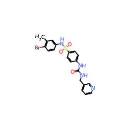 Cc1cc(NS(=O)(=O)c2ccc(NC(=O)NCc3cccnc3)cc2)ccc1Br